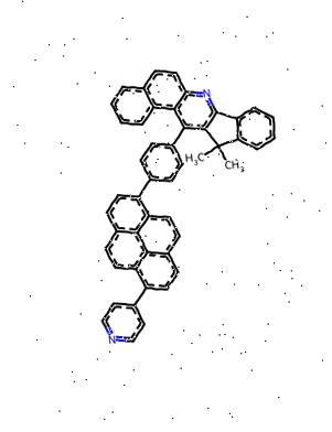 CC1(C)c2ccccc2-c2nc3ccc4ccccc4c3c(-c3ccc(-c4ccc5ccc6c(-c7ccncc7)ccc7ccc4c5c76)cc3)c21